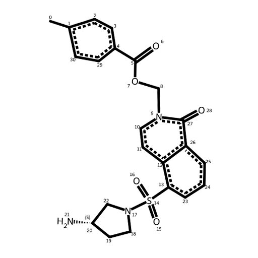 Cc1ccc(C(=O)OCn2ccc3c(S(=O)(=O)N4CC[C@H](N)C4)cccc3c2=O)cc1